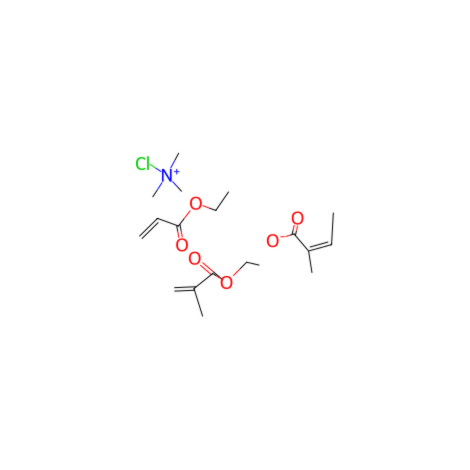 C=C(C)C(=O)OCC.C=CC(=O)OCC.CC=C(C)C(=O)[O-].C[N+](C)(C)Cl